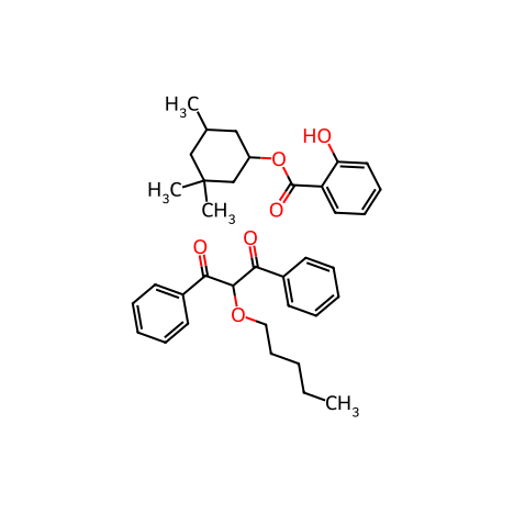 CC1CC(OC(=O)c2ccccc2O)CC(C)(C)C1.CCCCCOC(C(=O)c1ccccc1)C(=O)c1ccccc1